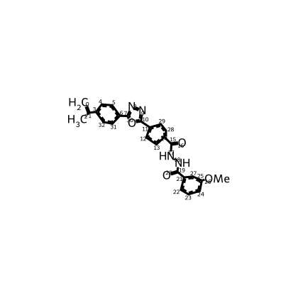 C=C(C)c1ccc(-c2nnc(-c3ccc(C(=O)NNC(=O)c4cccc(OC)c4)cc3)o2)cc1